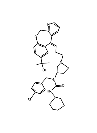 CC(C)(O)c1ccc2c(c1)C(=CCCN1CCC(N(Cc3ccc(Cl)cc3)C(=O)NC3CCCCC3)C1)c1cccnc1CO2